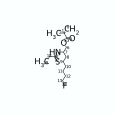 C=C(C)C(=O)OCC(CCCCCCF)NC(=S)CC